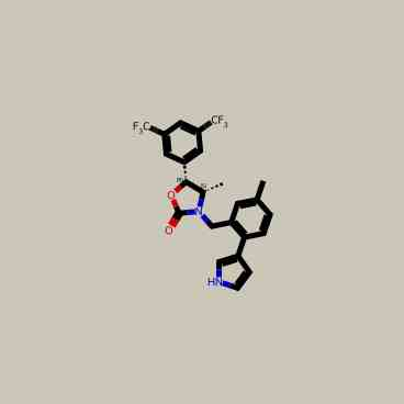 Cc1ccc(-c2cc[nH]c2)c(CN2C(=O)O[C@H](c3cc(C(F)(F)F)cc(C(F)(F)F)c3)[C@@H]2C)c1